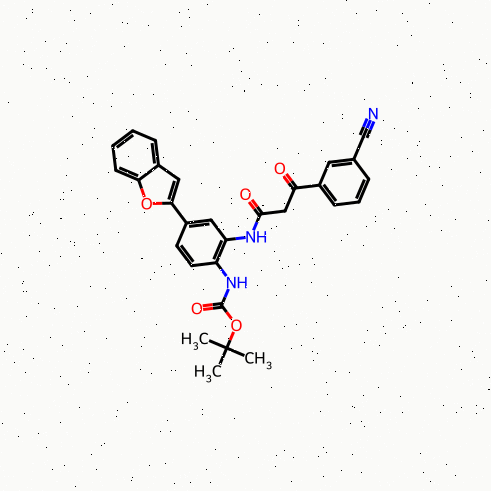 CC(C)(C)OC(=O)Nc1ccc(-c2cc3ccccc3o2)cc1NC(=O)CC(=O)c1cccc(C#N)c1